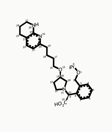 CC(C)OCc1ccccc1[C@@H](C(=O)O)N1CC[C@@H](OCCCCc2ccc3c(n2)NCCC3)C1